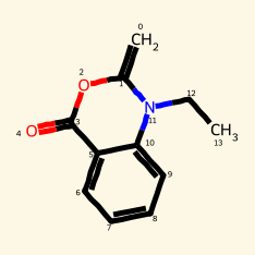 C=C1OC(=O)c2ccccc2N1CC